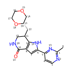 Cc1nccc(-c2cc3c([nH]2)C(C[C@H]2COCCO2)CNC3=O)n1